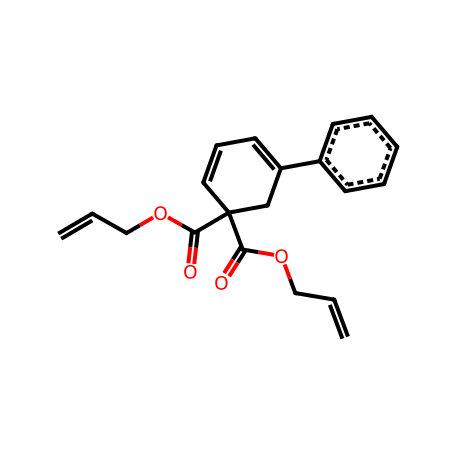 C=CCOC(=O)C1(C(=O)OCC=C)C=CC=C(c2ccccc2)C1